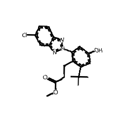 COC(=O)CCc1c(-n2nc3ccc(Cl)cc3n2)cc(O)cc1C(C)(C)C